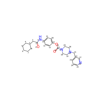 O=C(CC1CCCCC1)Nc1ccc(OC(=O)N2CCN(Cc3cccnc3)CC2)cc1